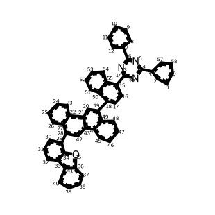 c1ccc(-c2nc(-c3ccccc3)nc(-c3ccc(-c4cc5c6ccccc6c(-c6cccc7c6oc6ccccc67)cc5c5ccccc45)c4ccccc34)n2)cc1